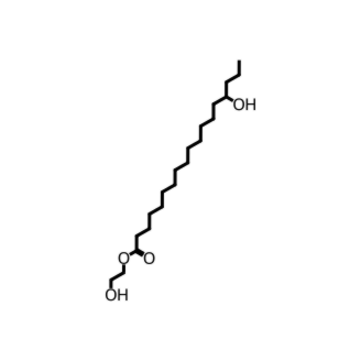 CCCC(O)CCCCCCCCCCCCCC(=O)OCCO